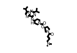 CC(C)c1nc(NC2CCN(C(=O)O[C@H]3CCN(C(=O)/C=C/CN(C)C)C3)CC2)c2ncc(C(C)C)n2n1